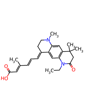 CCN1C(=O)CC(C)(C)c2cc3c(cc21)C(=C/C=C/C(C)=C/C(=O)O)CCN3C